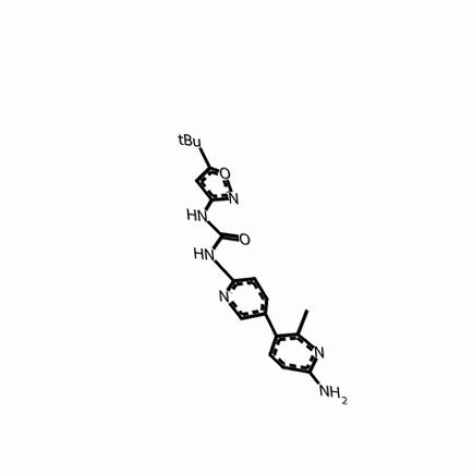 Cc1nc(N)ccc1-c1ccc(NC(=O)Nc2cc(C(C)(C)C)on2)nc1